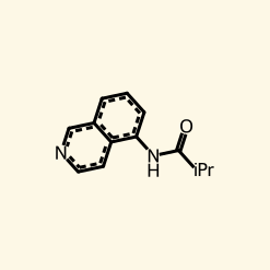 CC(C)C(=O)Nc1cccc2cnccc12